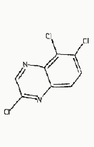 Clc1cnc2c(Cl)c(Cl)ccc2n1